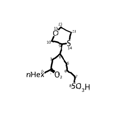 CCCCCCC(=O)CC(CCCS(=O)(=O)O)C1COCCS1